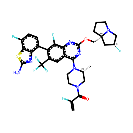 C=C(F)C(=O)N1CCN(c2nc(OC[C@]34CCCN3C[C@H](F)C4)nc3c(F)c(-c4ccc(F)c5sc(N)nc45)c(C(F)(F)F)cc23)[C@H](C)C1